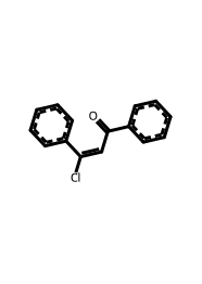 O=C(/C=C(/Cl)c1ccccc1)c1ccccc1